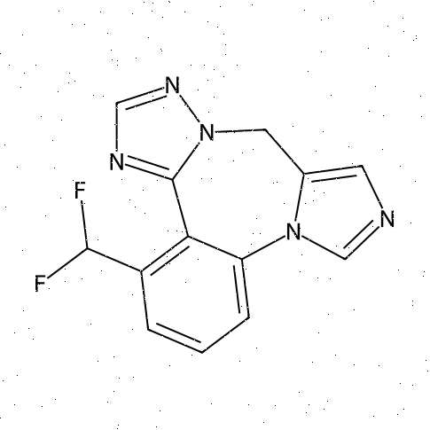 FC(F)c1cccc2c1-c1ncnn1Cc1cncn1-2